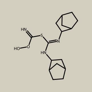 N=C(OO)SC(=NC1CC2CCC1C2)NC1CC2CCC1C2